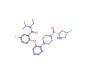 CCN(C(=O)c1cc(F)ccc1Oc1cncnc1N1CCN(C(=O)[C@@H]2C[C@@H](F)CN2)CC1)C(C)C